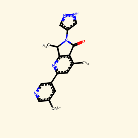 COc1cncc(-c2cc(C)c3c(n2)C(C)N(c2cn[nH]c2)C3=O)c1